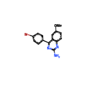 COc1ccc2nc(N)nc(-c3ccc(Br)cc3)c2c1